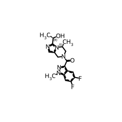 C[C@@H](O)c1ncc2n1[C@@H](C)CN(C(=O)c1nn(C)c3cc(F)c(F)cc13)C2